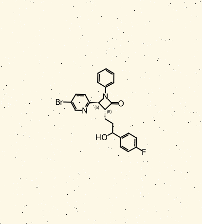 O=C1[C@H](CCC(O)c2ccc(F)cc2)[C@@H](c2ccc(Br)cn2)N1c1ccccc1